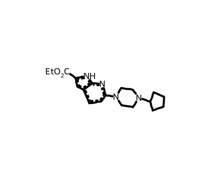 CCOC(=O)c1cc2ccc(N3CCN(C4CCCC4)CC3)nc2[nH]1